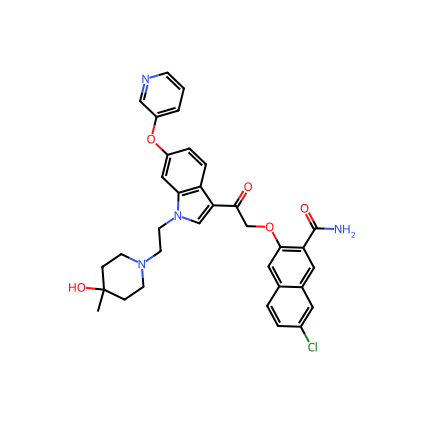 CC1(O)CCN(CCn2cc(C(=O)COc3cc4ccc(Cl)cc4cc3C(N)=O)c3ccc(Oc4cccnc4)cc32)CC1